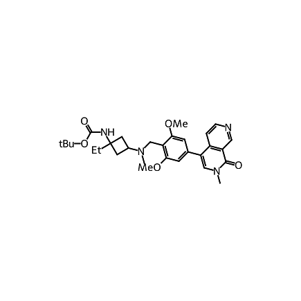 CCC1(NC(=O)OC(C)(C)C)CC(N(C)Cc2c(OC)cc(-c3cn(C)c(=O)c4cnccc34)cc2OC)C1